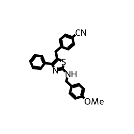 COc1ccc(CNc2nc(-c3ccccc3)c(Cc3ccc(C#N)cc3)s2)cc1